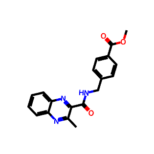 COC(=O)c1ccc(CNC(=O)c2nc3ccccc3nc2C)cc1